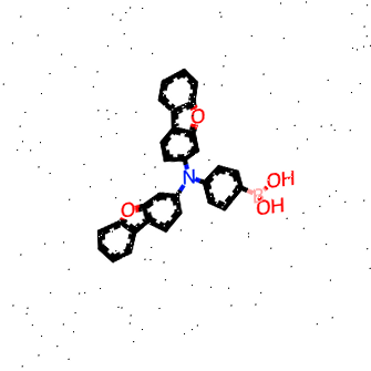 OB(O)c1ccc(N(c2ccc3c(c2)oc2ccccc23)c2ccc3c(c2)oc2ccccc23)cc1